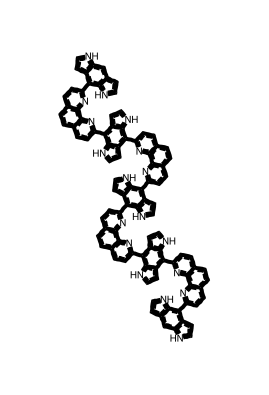 c1cc2c(-c3ccc4ccc5ccc(-c6c7cc[nH]c7c(-c7ccc8ccc9ccc(-c%10c%11cc[nH]c%11c(-c%11ccc%12ccc%13ccc(-c%14c%15cc[nH]c%15c(-c%15ccc%16ccc%17ccc(-c%18c%19cc[nH]c%19cc%19cc[nH]c%18%19)nc%17c%16n%15)c%15cc[nH]c%14%15)nc%13c%12n%11)c%11cc[nH]c%10%11)nc9c8n7)c7cc[nH]c67)nc5c4n3)c3[nH]ccc3cc2[nH]1